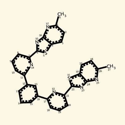 Cc1ccc2sc(-c3cccc(-c4cccc(-c5cccc(-c6nc7nc(C)ccc7s6)n5)c4)n3)nc2n1